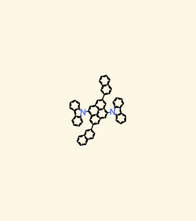 c1ccc2cc(-c3cc4cc(-n5c6ccccc6c6ccccc65)c5cc(-c6ccc7ccccc7c6)cc6cc(-n7c8ccccc8c8ccccc87)c(c3)c4c65)ccc2c1